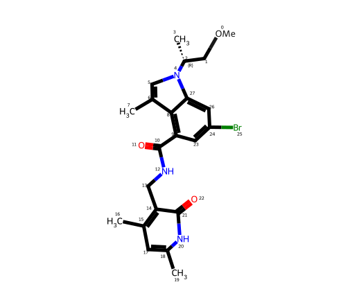 COC[C@@H](C)n1cc(C)c2c(C(=O)NCc3c(C)cc(C)[nH]c3=O)cc(Br)cc21